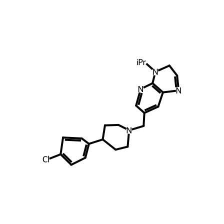 CC(C)N1CC=Nc2cc(CN3CCC(c4ccc(Cl)cc4)CC3)cnc21